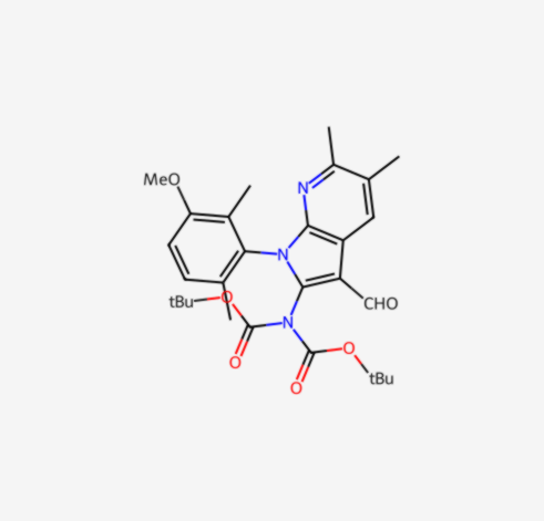 COc1ccc(C)c(-n2c(N(C(=O)OC(C)(C)C)C(=O)OC(C)(C)C)c(C=O)c3cc(C)c(C)nc32)c1C